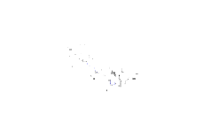 CNC(=O)C1CN(/C(N)=C/C=C(\N)OC/C(=C(\C)N)N(N)c2ccc(C(F)F)cc2)CCO1